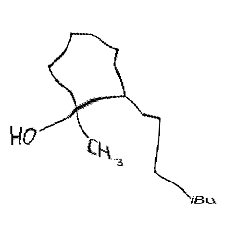 CCC(C)CCC1CCCC1(C)O